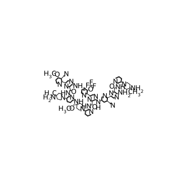 COCC1(Nc2ccc(N3CCC(C)(N)CC3)c(NC(=O)c3nc(-c4nccc(OC)c4C#N)cnc3N)n2)CCN(c2cccnc2NC(=O)c2nc(-c3ncccc3OC(F)(F)F)cnc2Nc2cnc(-c3cnc(N)c(C(=O)Nc4ncccc4N4CCC(C)(N)CC4)n3)c(C#N)c2)CC1